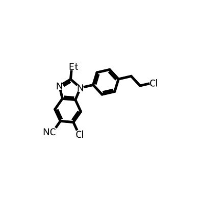 CCc1nc2cc(C#N)c(Cl)cc2n1-c1ccc(CCCl)cc1